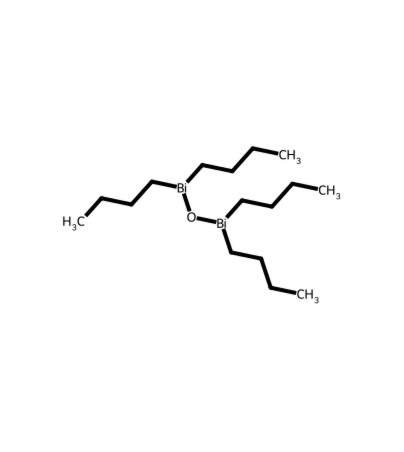 CCC[CH2][Bi]([CH2]CCC)[O][Bi]([CH2]CCC)[CH2]CCC